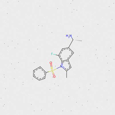 Cc1cc2cc([C@@H](C)N)cc(F)c2n1S(=O)(=O)c1ccccc1